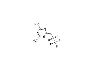 Cc1cc(C)nc(OS(=O)(=O)C(F)(F)F)n1